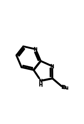 CCC(C)c1nc2ncccc2[nH]1